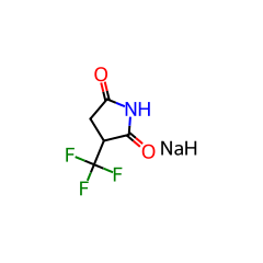 O=C1CC(C(F)(F)F)C(=O)N1.[NaH]